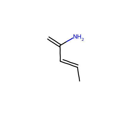 C=C(N)C=CC